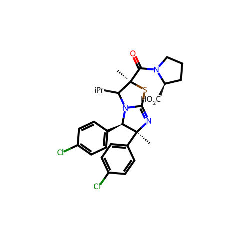 CC(C)C1N2C(=N[C@@](C)(c3ccc(Cl)cc3)[C@H]2c2ccc(Cl)cc2)S[C@]1(C)C(=O)N1CCC[C@H]1C(=O)O